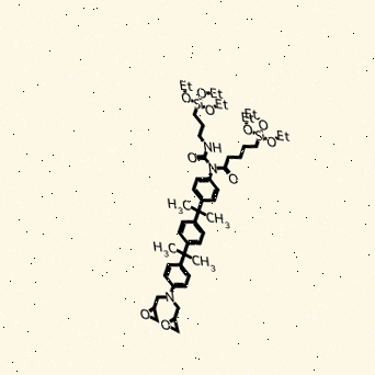 CCO[Si](CCCCC(=O)N(C(=O)NCCC[Si](OCC)(OCC)OCC)c1ccc(C(C)(C)c2ccc(C(C)(C)c3ccc(N(CC4CO4)CC4CO4)cc3)cc2)cc1)(OCC)OCC